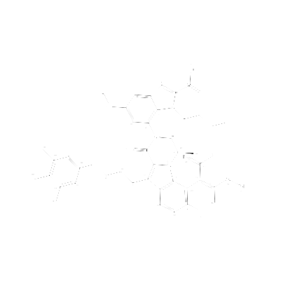 COCCn1c(C(=O)O)cc2cc(OC)cc(N3C[C@@H](C)n4c(c(CCCOc5cc(C)c(Cl)c(C)c5)c5ccc(Cl)c(/C(C(C)=N)=C(\C)NN)c54)C3=O)c21